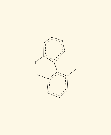 Cc1cccc(C)c1-c1ccccc1I